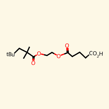 CC(C)(C)CC(C)(C)C(=O)OCCOC(=O)CCCC(=O)O